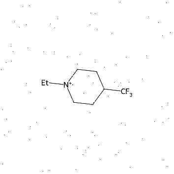 CC[N+]1CCC(C(F)(F)F)CC1